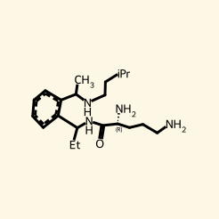 CCC(NC(=O)[C@H](N)CCCN)c1ccccc1C(C)NCCC(C)C